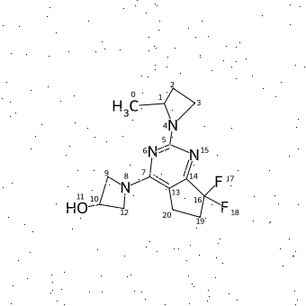 CC1CCN1c1nc(N2CC(O)C2)c2c(n1)C(F)(F)CC2